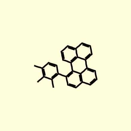 Cc1ccc(-c2ccc3cccc4c5cccc6cccc(c2c34)c65)c(C)c1C